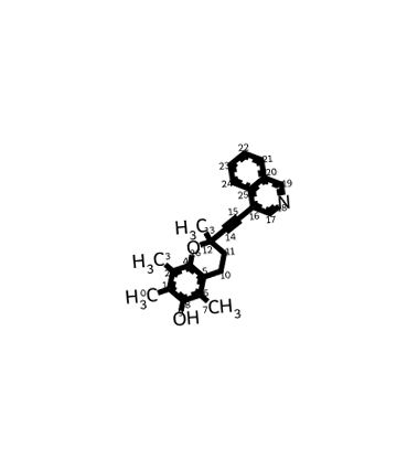 Cc1c(C)c2c(c(C)c1O)CCC(C)(C#Cc1cncc3ccccc13)O2